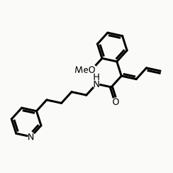 C=CC=C(C(=O)NCCCCc1cccnc1)c1ccccc1OC